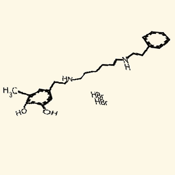 Br.Br.Cc1cc(CCNCCCCCCNCCc2ccccc2)cc(O)c1O